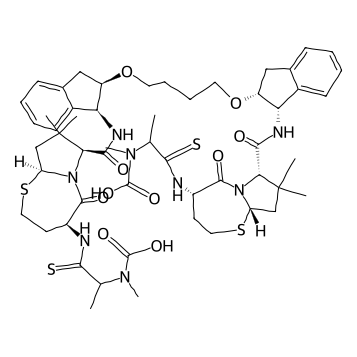 CC(C(=S)N[C@H]1CCS[C@H]2CC(C)(C)[C@@H](C(=O)N[C@H]3c4ccccc4C[C@H]3OCCCCO[C@@H]3Cc4ccccc4[C@@H]3NC(=O)[C@H]3N4C(=O)[C@@H](NC(=S)C(C)N(C)C(=O)O)CCS[C@H]4CC3(C)C)N2C1=O)N(C)C(=O)O